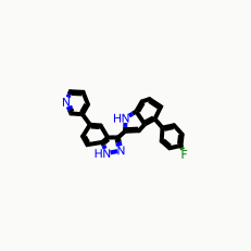 Fc1ccc(-c2cccc3[nH]c(-c4n[nH]c5ccc(-c6cccnc6)cc45)cc23)cc1